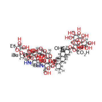 CC[C@@H]1O[C@@H](O[C@@H](C[C@H](O)CC(=O)N[C@@H](C[C@H](O)CC(=O)N[C@H]2C(CO)O[C@@H](OC(=O)[C@]34CCC(C)(C)CC3C3=CCC5C6(C)CC[C@H](O[C@@H]7OC(C(=O)O)[C@@H](O)[C@H](O[C@@H]8OC[C@@H](O)[C@H](O)C8O)C7O[C@@H]7OC(CO)[C@H](O)[C@H](O)C7O)[C@](C)(C=O)[C@@H]6CC[C@]5(C)[C@]3(C)CC4O)C(O[C@@H]3OC(C)[C@H](O[C@@H]4OC[C@@H](O)C(O[C@@H]5OC[C@@](O)(CC)C5O)C4O)C(O)C3O)C2O)[C@@H](C)CC)[C@@H](C)CC)C(O)C1O